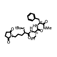 CNC(=O)[C@H](Cc1ccccc1)NC(=O)[C@H](CC(C)C)NC(=O)C(CCCN1C(=O)CCC1=O)SC(C)(C)C